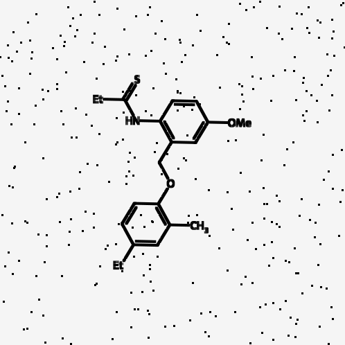 CCC(=S)Nc1ccc(OC)cc1COc1ccc(CC)cc1C